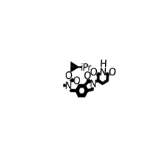 CC(C)[C@@H]1C[C@H]1OC(=O)N(C)Cc1ccc2c(c1)C(=O)N(C1CCC(=O)NC1=O)C2